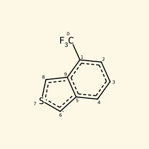 FC(F)(F)c1cccc2[c]scc12